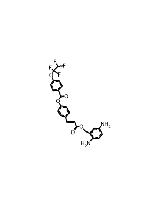 Nc1ccc(N)c(COC(=O)C=Cc2ccc(OC(=O)c3ccc(OC(F)(F)C(F)F)cc3)cc2)c1